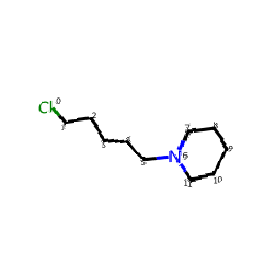 ClCCCCCN1CCCCC1